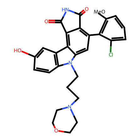 COc1cccc(Cl)c1-c1cc2c(c3c1C(=O)NC3=O)c1cc(O)ccc1n2CCCN1CCOCC1